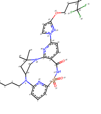 CCCCN1c2cccc(n2)S(=O)(=O)NC(=O)c2ccc(-n3ccc(OCCC4(C(F)(F)F)CC4)n3)nc2N2CC1CC2(C)C